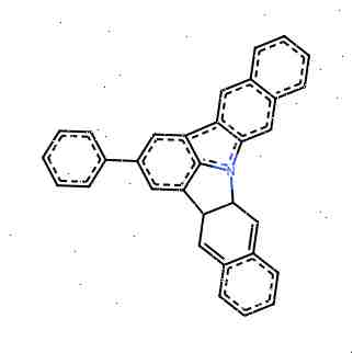 C1=c2ccccc2=CC2C1c1cc(-c3ccccc3)cc3c4cc5ccccc5cc4n2c13